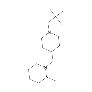 CC1CCCCN1CC1CCN(CC(C)(C)C)CC1